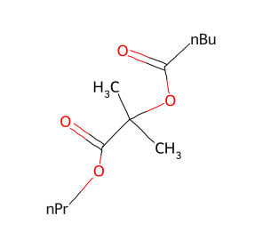 CCCCC(=O)OC(C)(C)C(=O)OCCC